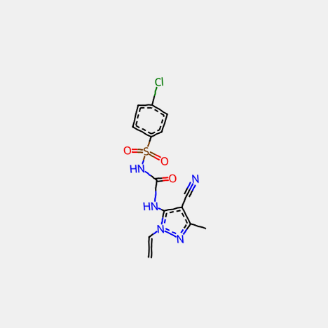 C=Cn1nc(C)c(C#N)c1NC(=O)NS(=O)(=O)c1ccc(Cl)cc1